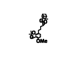 COc1ccc(CCCCB2OC3CC4CC(C4(C)C)[C@]3(C)O2)c2c1COC(C)(C)O2